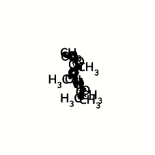 COc1cccc(S(=O)(=O)N(C)c2ccc(OC)c(N3CCN(C(=O)OC(C)(C)C)CC3)c2)c1